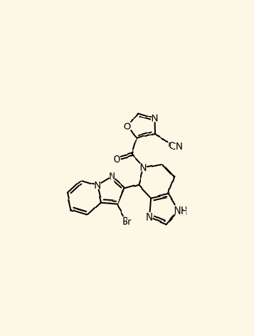 N#Cc1ncoc1C(=O)N1CCc2[nH]cnc2C1c1nn2ccccc2c1Br